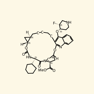 COC(=O)[C@@H]1C[C@@H]2CN1C(=O)[C@H](C1CCCCC1)NC(=O)O[C@@H]1C[C@H]1CCCCCc1c(nc3ccccc3c1O[C@H]1CCNC[C@H]1F)O2